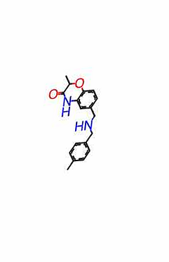 Cc1ccc(CNCc2ccc3c(c2)NC(=O)C(C)O3)cc1